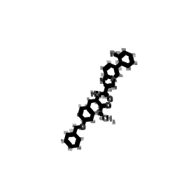 COC(=O)C(Cc1ccc(OCc2ccccc2)cc1)NC(=O)c1cn2cc(-c3ccccc3F)ccc2n1